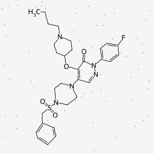 CCCCN1CCC(Oc2c(N3CCN(S(=O)(=O)Cc4ccccc4)CC3)cnn(-c3ccc(F)cc3)c2=O)CC1